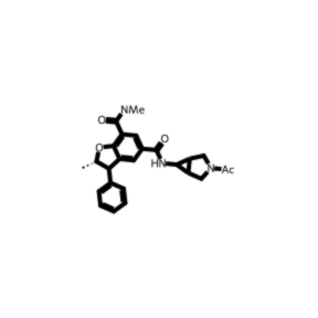 CNC(=O)c1cc(C(=O)NC2C3CN(C(C)=O)CC32)cc2c1O[C@@H](C)C2c1ccccc1